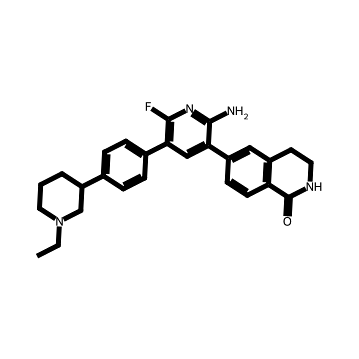 CCN1CCCC(c2ccc(-c3cc(-c4ccc5c(c4)CCNC5=O)c(N)nc3F)cc2)C1